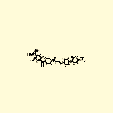 O=C(CCCN1CCN(c2ccc(C(F)(F)F)nc2)CC1)N1CCC(Nc2ccc(N(O)O)c(C(F)(F)F)c2)CC1